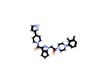 Cc1cccc(N2CCN(C(=O)Cn3nc(C(=O)N4CCC(c5cc[nH]n5)CC4)c4c3CCC4)CC2)c1C